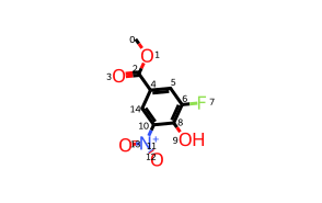 COC(=O)c1cc(F)c(O)c([N+](=O)[O-])c1